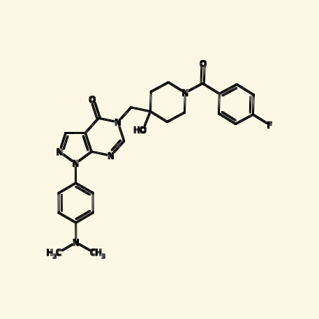 CN(C)c1ccc(-n2ncc3c(=O)n(CC4(O)CCN(C(=O)c5ccc(F)cc5)CC4)cnc32)cc1